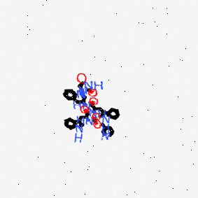 O=C1CN(/N=C/C(Cc2ccccc2)NC(=O)C(Cc2c[nH]c3ccccc23)NC(=O)C(Cc2c[nH]c3ccccc23)NC(=O)OCc2cccnc2)C(=O)N1